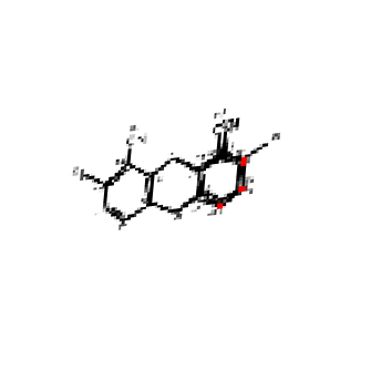 N#Cc1cccc2c1C1c3c(ccc(I)c3C#N)C2c2ccc(I)c(C#N)c21